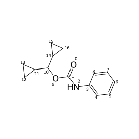 O=C(Nc1ccccc1)OC(C1CC1)C1CC1